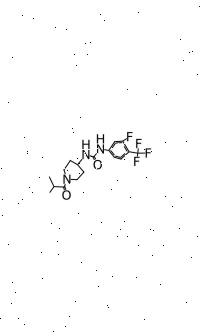 CC(C)C(=O)N1CCC(NC(=O)Nc2ccc(C(F)(F)F)c(F)c2)CC1